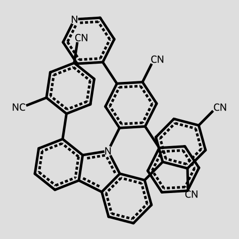 N#Cc1ccc(-c2cccc3c4cccc(-c5ccc(C#N)cc5C#N)c4n(-c4cc(-c5ccncc5)c(C#N)cc4-c4ccccc4)c23)c(C#N)c1